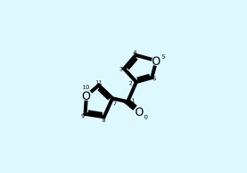 O=C(c1ccoc1)c1ccoc1